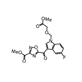 COC(=O)COCn1cc(C(=O)c2nc(C(=O)OC)no2)c2cc(F)ccc21